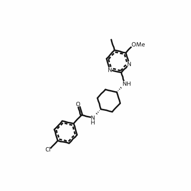 COc1nc(N[C@H]2CC[C@@H](NC(=O)c3ccc(Cl)cc3)CC2)ncc1C